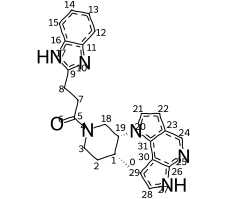 C[C@@H]1CCN(C(=O)CCc2nc3ccccc3[nH]2)C[C@@H]1n1ccc2cnc3[nH]ccc3c21